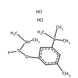 Cc1cc([O][Ti]([F])[SiH](C)C)cc([Si](C)(C)C)c1.Cl.Cl